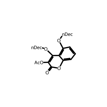 CCCCCCCCCCOc1cccc2oc(=O)c(OC(C)=O)c(OCCCCCCCCCC)c12